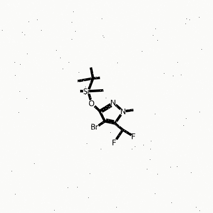 Cn1nc(O[Si](C)(C)C(C)(C)C)c(Br)c1C(F)F